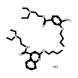 CCCCOc1cc(C(=O)NCCN(CC)CC)c2ccccc2n1.CCCCOc1cc(C(=O)OCCN(CC)CC)ccc1N.Cl